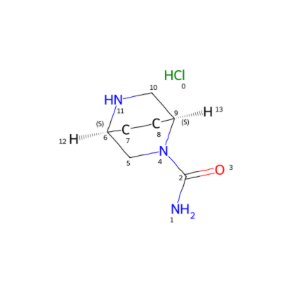 Cl.NC(=O)N1C[C@@H]2CC[C@H]1CN2